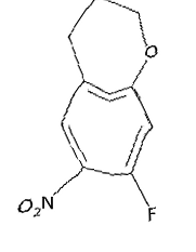 O=[N+]([O-])c1cc2c(cc1F)OCCC2